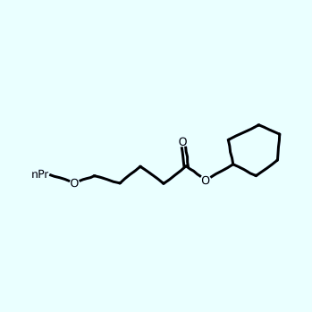 CCCOCCCCC(=O)OC1CCCCC1